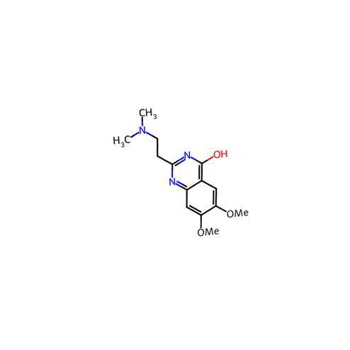 COc1cc2nc(CCN(C)C)nc(O)c2cc1OC